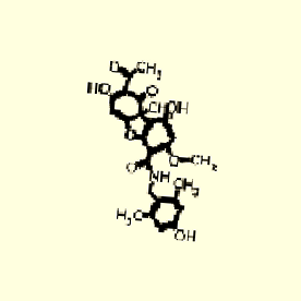 COc1cc(O)c2c(c1C(=O)NCc1c(C)cc(O)cc1C)OC1=CC(O)=C(C(C)=O)C(=O)C12C